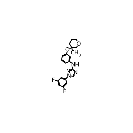 CC1(Oc2cccc(Nc3ncn(-c4cc(F)cc(F)c4)n3)c2)CCCOC1